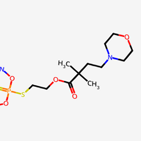 CC(C)(C)OP(=S)(ON)SCCOC(=O)C(C)(C)CCN1CCOCC1